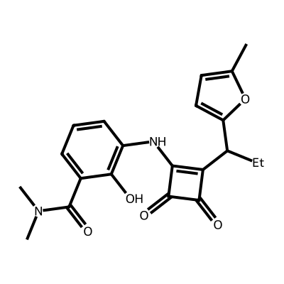 CCC(c1ccc(C)o1)c1c(Nc2cccc(C(=O)N(C)C)c2O)c(=O)c1=O